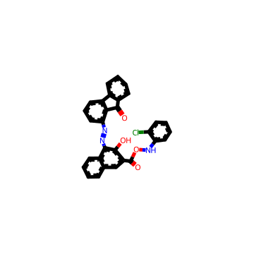 O=C(ONc1ccccc1Cl)c1cc2ccccc2c(N=Nc2cccc3c2C(=O)c2ccccc2-3)c1O